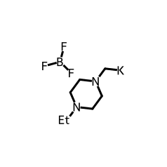 CCN1CCN([CH2][K])CC1.FB(F)F